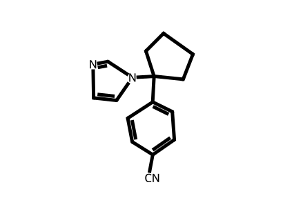 N#Cc1ccc(C2(n3ccnc3)CCCC2)cc1